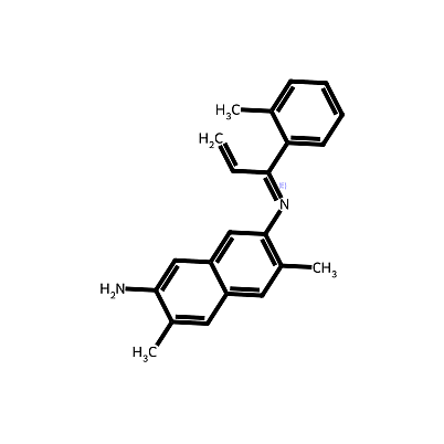 C=C/C(=N\c1cc2cc(N)c(C)cc2cc1C)c1ccccc1C